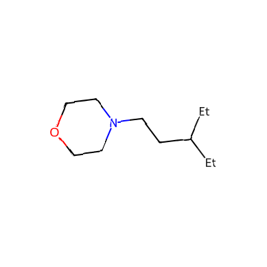 CCC(CC)CCN1CCOCC1